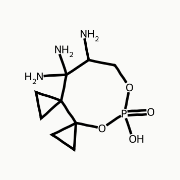 NC1COP(=O)(O)OC2(CC2)C2(CC2)C1(N)N